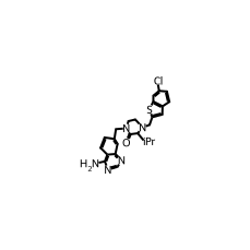 CC(C)C1C(=O)N(Cc2ccc3c(N)ncnc3c2)CCN1Cc1cc2ccc(Cl)cc2s1